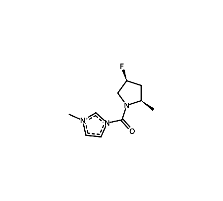 C[C@@H]1C[C@H](F)CN1C(=O)n1cc[n+](C)c1